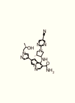 C[C@@H]1CN(c2ncc(C#N)cn2)C[C@H]1Nc1c(C(N)=O)cnn2cc(-c3cnn(C[C@@H](C)O)c3)cc12